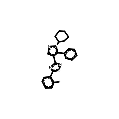 Fc1ccccc1-c1nc(-c2cnn(C3CCCCC3)c2-c2ccccc2)no1